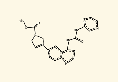 CC(C)(C)OC(=O)N1CC=C(c2ccc3nccc(NC(=O)Nc4cnccn4)c3c2)C1